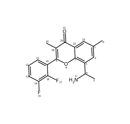 Cc1cc(C(C)N)c2oc(-c3cccc(F)c3F)c(C)c(=O)c2c1